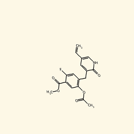 C=Cc1c[nH]c(=O)c(Cc2cc(F)c(C(=O)OC)cc2OC(C)=O)c1